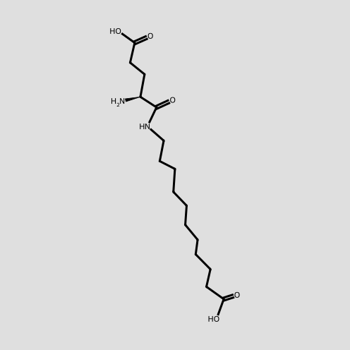 N[C@@H](CCC(=O)O)C(=O)NCCCCCCCCCCC(=O)O